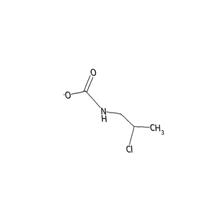 CC(Cl)CNC([O])=O